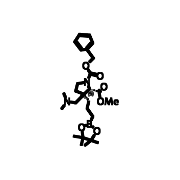 COC(=O)[C@H]1N(C(=O)OCc2ccccc2)CC[C@]1(CCCB1OC(C)(C)C(C)(C)O1)CN(C)C